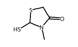 CN1C(=O)CSC1S